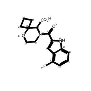 O=C(O)C1N(C(=O)c2cc3c(F)cccc3[nH]2)CCOC12CCC2